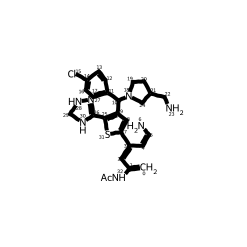 C=C(/C=C(\C=C/N)c1cc(C(c2ccc(Cl)cc2)N2CCC(CN)C2)c(C2=NNCN2)s1)NC(C)=O